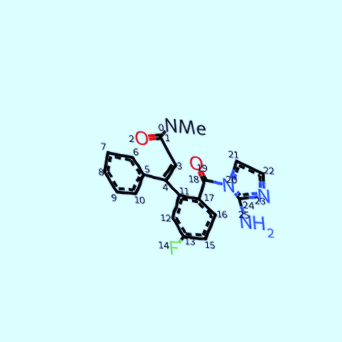 CNC(=O)/C=C(\c1ccccc1)c1cc(F)ccc1C(=O)n1ccnc1N